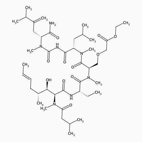 C=C(C[C@H](C(N)=O)N(C)C(=O)NC(=O)[C@H](CC(C)C)N(C)C(=O)[C@@H](COCC(=O)OCC)N(C)C(=O)[C@H](CC)NC(=O)[C@H]([C@H](O)[C@H](C)C/C=C/C)N(C)C(=O)CC(C)C)C(C)C